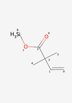 C=CC(C)(C)C(=O)O[SiH3]